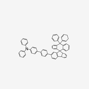 C1=CC2c3ccc(-c4ccc(-c5ccc(N(c6ccccc6)c6ccccc6)cc5)cc4)cc3C3(c4ccccc4C(C4=CCCC=C4)(c4ccccc4)c4ccccc43)C2C=C1